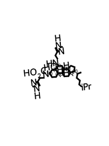 CC(C)CCCC(C)[C@H]1CC[C@H]2[C@@H]3C[C@@H](NCCc4c[nH]cn4)[C@@]4(O)C[C@@H](N(CCc5c[nH]cn5)C(=O)O)CC[C@]4(C)[C@H]3CC[C@]12C